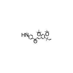 C=CC(C)(C)c1cc(C=CC(=O)c2ccc(NC)cc2)c(OC(C)(C)C)cc1OC(C)(C)C